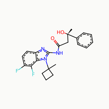 CC1(n2c(NC(=O)C[C@](C)(O)c3ccccc3)nc3ccc(F)c(F)c32)CCC1